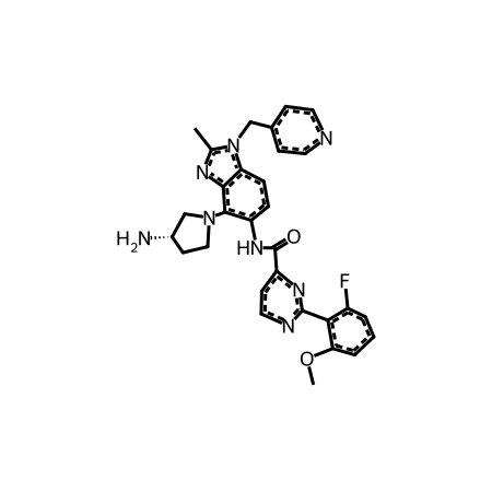 COc1cccc(F)c1-c1nccc(C(=O)Nc2ccc3c(nc(C)n3Cc3ccncc3)c2N2CC[C@H](N)C2)n1